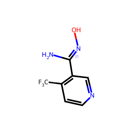 N/C(=N\O)c1cnccc1C(F)(F)F